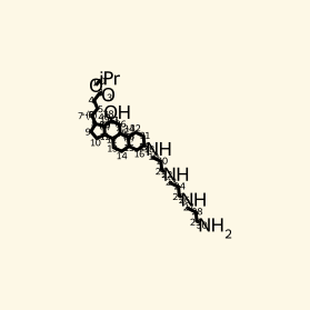 CC(C)OC(=O)CC[C@@H](C)C1CCC2C3CCC4C[C@@H](NCCCNCCCNCCCN)CC[C@]4(C)C3C[C@H](O)[C@@]21C